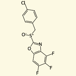 [O-][S+](Cc1ccc(Cl)cc1)c1nc2c(F)c(F)c(F)cc2o1